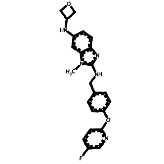 Cn1c(NCc2ccc(Oc3ccc(F)cn3)cc2)nc2ccc(NC3COC3)cc21